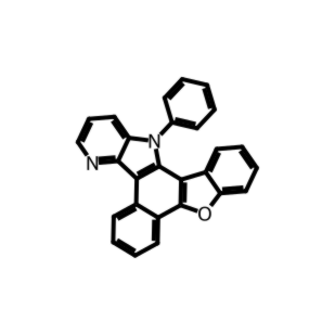 c1ccc(-n2c3cccnc3c3c4ccccc4c4oc5ccccc5c4c32)cc1